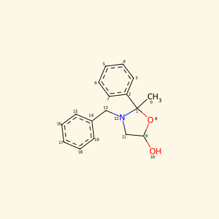 CC1(c2ccccc2)OC(O)CN1Cc1ccccc1